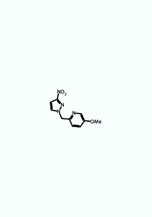 COc1ccc(Cn2ccc([N+](=O)[O-])n2)nc1